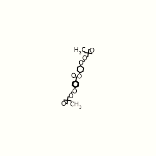 CCC1(COCOc2ccc(C(=O)OC3CCC(OCOCC4(CC)COC4)CC3)cc2)COC1